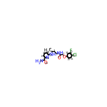 C=C(CCNC(=O)COc1ccc(Cl)c(F)c1)Nc1cccc(C(N)=O)n1